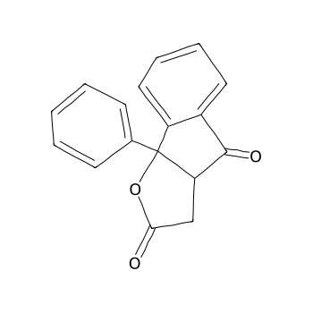 O=C1CC2C(=O)c3ccccc3C2(c2ccccc2)O1